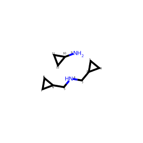 C1CC1CNCC1CC1.NC1CC1